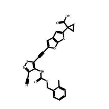 Cc1ccccc1COC(=O)Nc1c(C#N)nsc1C#Cc1cc2cc(C3(C(=O)O)CC3)sc2s1